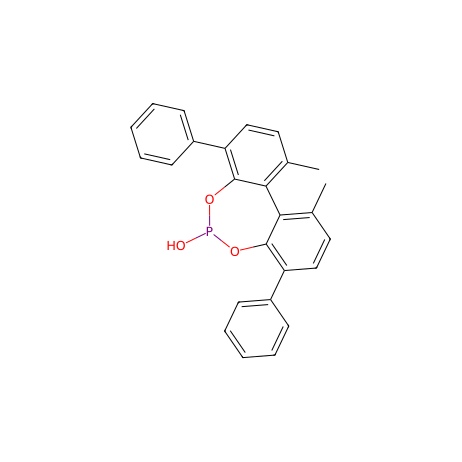 Cc1ccc(-c2ccccc2)c2op(O)oc3c(-c4ccccc4)ccc(C)c3c12